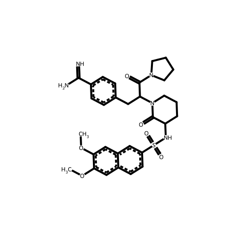 COc1cc2ccc(S(=O)(=O)NC3CCCN(C(Cc4ccc(C(=N)N)cc4)C(=O)N4CCCC4)C3=O)cc2cc1OC